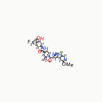 COc1cc(-c2cc(C(=O)N3CC[C@H](C(=O)NC4CCC(CO)(C(F)(F)F)CC4)CC34CC4)n[nH]2)c(F)cn1